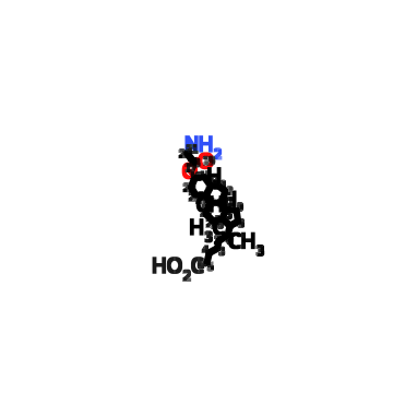 C[C@H](CCCCC(=O)O)C1CCC2[C@@H]3CC[C@@H]4C[C@H](OC(=O)CN)CC[C@]4(C)C3CC[C@@]21C